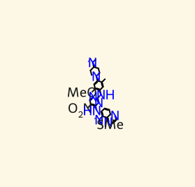 COc1cc(N2CCC(N(C)C)CC2)c(C)cc1Nc1ncc([N+](=O)[O-])c(Nc2ccc3nccnc3c2N(C)SC)n1